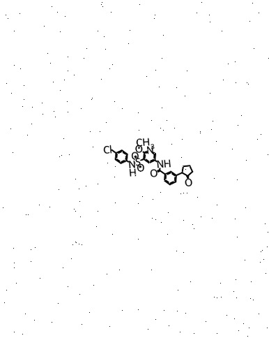 COc1ncc(NC(=O)c2cccc(C3CCCC3=O)c2)cc1S(=O)(=O)Nc1ccc(Cl)cc1